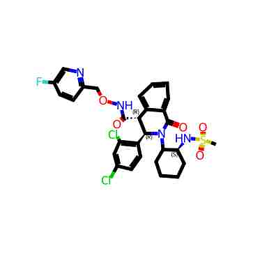 CS(=O)(=O)N[C@H]1CCCCC1N1C(=O)c2ccccc2[C@@H](C(=O)NOCc2ccc(F)cn2)[C@@H]1c1ccc(Cl)cc1Cl